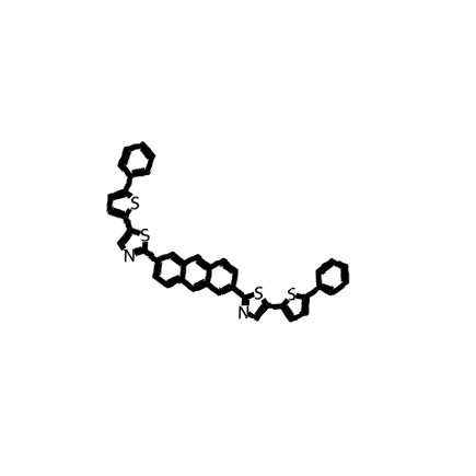 c1ccc(-c2ccc(-c3cnc(-c4ccc5cc6cc(-c7ncc(-c8ccc(-c9ccccc9)s8)s7)ccc6cc5c4)s3)s2)cc1